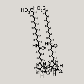 O=C(O)CCCCCCCCCCCNC(=O)CCCCC1SC[C@@H]2NC(=O)N[C@H]12.O=C(O)CCCCCCCCCCCNC(=O)CCCC[C@@H]1SC[C@@H]2NC(=O)N[C@@H]21